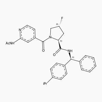 CC(=O)Nc1cc(C(=O)N2C[C@H](F)C[C@H]2C(=O)N[C@@H](c2ccccc2)c2ccc(C(C)C)cc2)ccn1